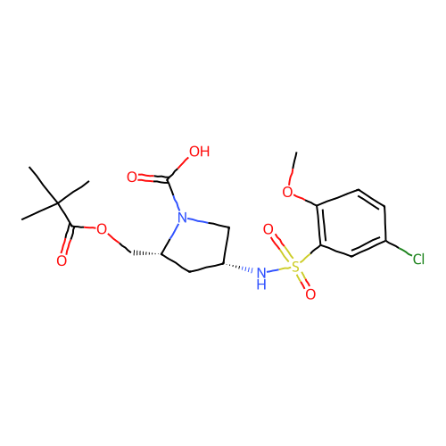 COc1ccc(Cl)cc1S(=O)(=O)N[C@@H]1C[C@H](COC(=O)C(C)(C)C)N(C(=O)O)C1